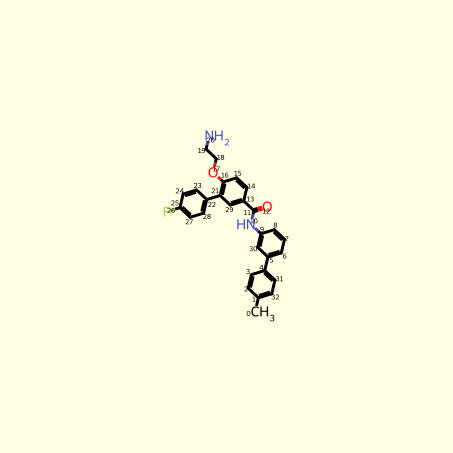 Cc1ccc(-c2cccc(NC(=O)c3ccc(OCCN)c(-c4ccc(F)cc4)c3)c2)cc1